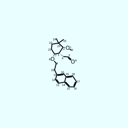 CO[C@@H]1[C@H](CC=O)[C@H](OCCc2ccc3ccccc3c2)CCC1(C)C